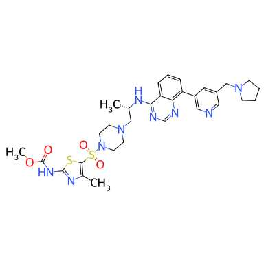 COC(=O)Nc1nc(C)c(S(=O)(=O)N2CCN(C[C@H](C)Nc3ncnc4c(-c5cncc(CN6CCCC6)c5)cccc34)CC2)s1